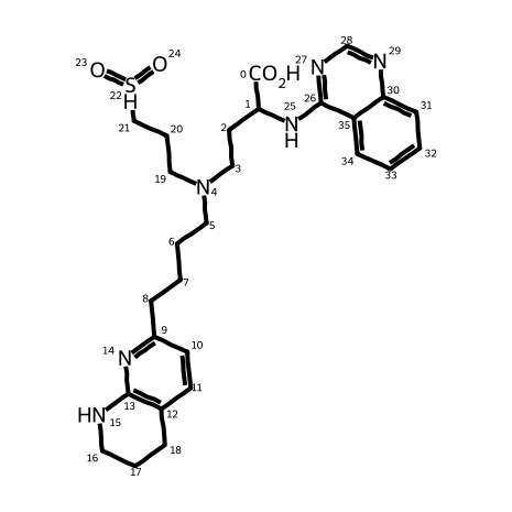 O=C(O)C(CCN(CCCCc1ccc2c(n1)NCCC2)CCC[SH](=O)=O)Nc1ncnc2ccccc12